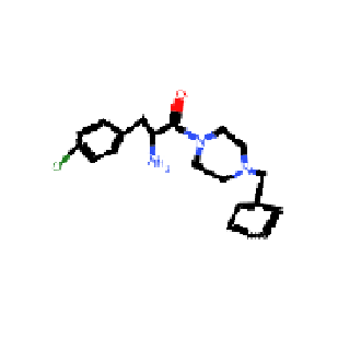 NC(Cc1ccc(Cl)cc1)C(=O)N1CCN(Cc2ccccc2)CC1